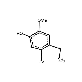 COc1cc(CN)c(Br)cc1O